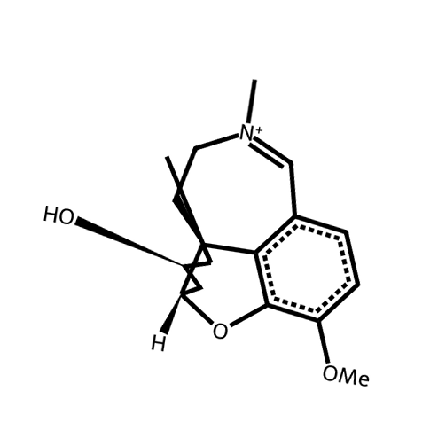 COc1ccc2c3c1O[C@H]1C[C@@H](O)C(C)[C@@]31CC[N+](C)=C2